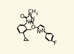 Cn1nnn(-c2cccc(C3CC3)c2COc2ccn(-c3ccc(F)cc3)n2)c1=O